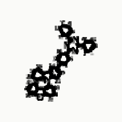 c1ccc(-c2nc(-c3ccccc3)nc(-c3ccc(-c4ccc5c(c4)c4ccccc4n5-c4cccc5oc6ccccc6c45)cc3)n2)cc1